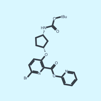 CC(C)(C)OC(=O)N[C@H]1CC[C@@H](Oc2ccc(Br)nc2C(=O)Oc2ccccn2)C1